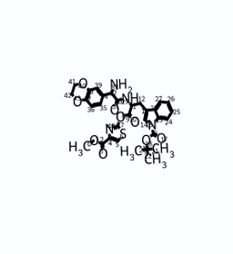 COC(=O)c1csc(OC(=O)C(Cc2cn(C(=O)OC(C)(C)C)c3ccccc23)NC(=O)C(N)c2ccc3c(c2)OCCO3)n1